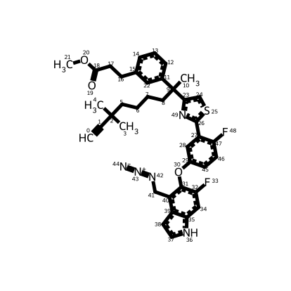 C#CC(C)(C)CCCCC(C)(c1cccc(CCC(=O)OC)c1)c1csc(-c2cc(Oc3c(F)cc4[nH]ccc4c3CN=[N+]=[N-])ccc2F)n1